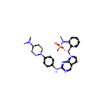 CN(C)C1CCN(c2ccc(Nc3ncc4ccn(Cc5ccccc5N(C)S(C)(=O)=O)c4n3)cc2)CC1